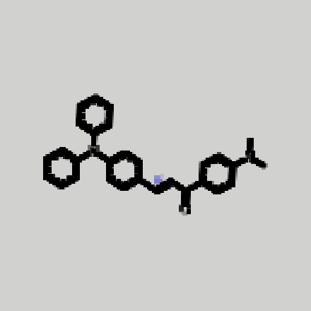 CN(C)c1ccc(C(=O)/C=C/c2ccc(N(c3ccccc3)c3ccccc3)cc2)cc1